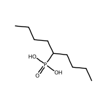 CCCC[C](CCCC)P(=O)(O)O